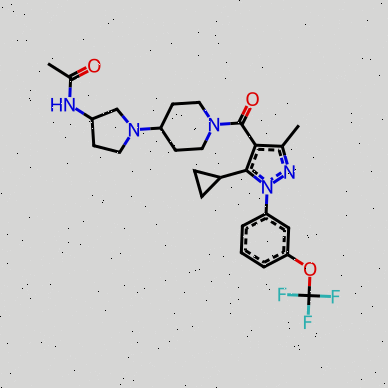 CC(=O)NC1CCN(C2CCN(C(=O)c3c(C)nn(-c4cccc(OC(F)(F)F)c4)c3C3CC3)CC2)C1